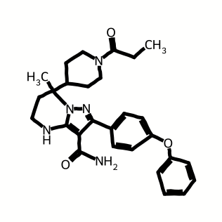 CCC(=O)N1CCC(C2(C)CCNc3c(C(N)=O)c(-c4ccc(Oc5ccccc5)cc4)nn32)CC1